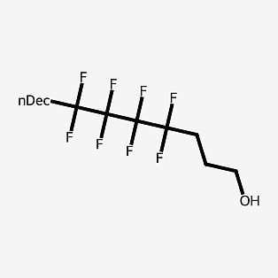 CCCCCCCCCCC(F)(F)C(F)(F)C(F)(F)C(F)(F)CCCO